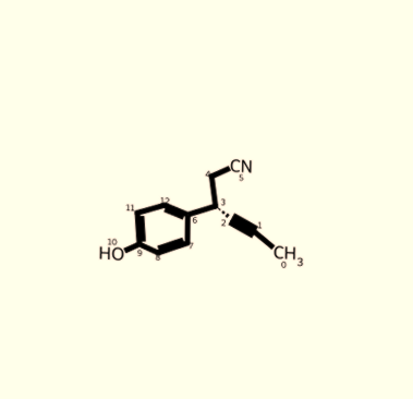 CC#C[C@@H](CC#N)c1ccc(O)cc1